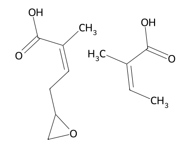 CC(=CCC1CO1)C(=O)O.CC=C(C)C(=O)O